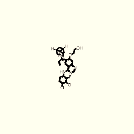 C=CC(=O)N1C[C@H]2C[C@@H](C1)[C@H]2COc1cc2c(Nc3ccc(Cl)c(Cl)c3F)ncnc2cc1OCCO